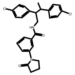 CC(c1ccc(Cl)cc1)C(CNC(=O)c1cccc(N2CCCC2=O)c1)c1ccc(Cl)cc1